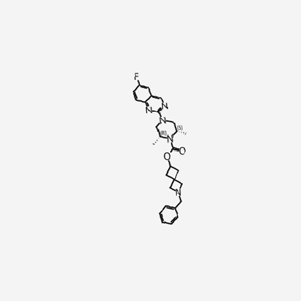 C[C@@H]1CN(c2ncc3cc(F)ccc3n2)C[C@H](C)N1C(=O)OC1CC2(C1)CN(Cc1ccccc1)C2